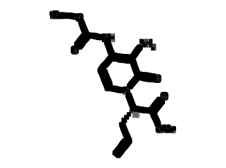 C=CC[C@@H](C(=O)OC)n1ccc(NC(=O)OC(C)(C)C)c(N)c1=O